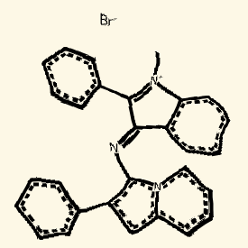 C[N+]1=C(c2ccccc2)/C(=N/c2c(-c3ccccc3)cc3ccccn23)c2ccccc21.[Br-]